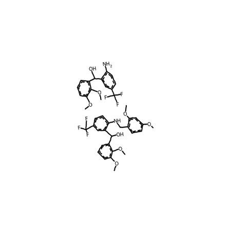 COc1ccc(CNc2ccc(C(F)(F)F)cc2C(O)c2cccc(OC)c2OC)c(OC)c1.COc1cccc(C(O)c2cc(C(F)(F)F)ccc2N)c1OC